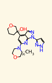 C[C@@H]1COCCN1c1cc([C@@]2(O)CCCOC2)c2cnn(-c3cc[nH]n3)c2n1